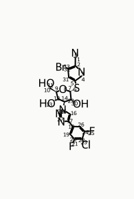 N#Cc1ncc(S[C@H]2O[C@H](CO)[C@H](O)[C@H](n3cc(-c4cc(F)c(Cl)c(F)c4)nn3)[C@H]2O)cc1Br